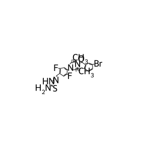 C[C@@H]1CN(c2cc(F)c(C=NNC(N)=S)cc2F)C[C@H](C)N1C(=O)c1cccc(Br)c1